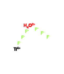 [F-].[F-].[F-].[F-].[F-].[F-].[OH4+2].[Ti+4]